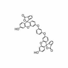 O=C1OC2(c3ccc(O)cc3Oc3cc(Oc4cccc(Oc5ccc6c(c5)Oc5cc(O)ccc5C65OC(=O)c6ccccc65)c4)ccc32)c2ccccc21